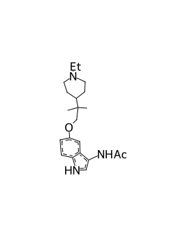 CCN1CCC(C(C)(C)COc2ccc3[nH]cc(NC(C)=O)c3c2)CC1